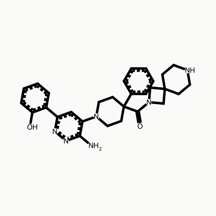 Nc1nnc(-c2ccccc2O)cc1N1CCC(C(=O)N2CC3(CCNCC3)C2)(c2ccccc2)CC1